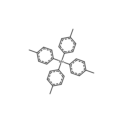 Cc1cc[c]([Mn]([c]2ccc(C)cc2)([c]2ccc(C)cc2)[c]2ccc(C)cc2)cc1